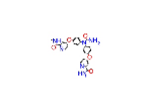 CNC(=O)c1cc(Oc2ccc(N(C(N)=O)c3ccc(Oc4ccnc(C(=O)NC)c4)cc3)cc2)ccn1